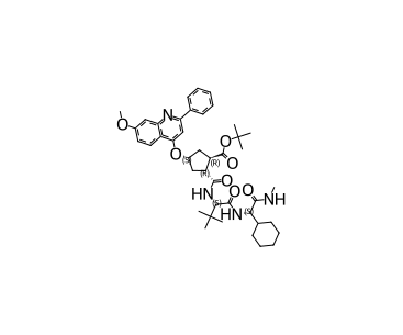 CNC(=O)[C@@H](NC(=O)[C@@H](NC(=O)[C@@H]1C[C@H](Oc2cc(-c3ccccc3)nc3cc(OC)ccc23)C[C@H]1C(=O)OC(C)(C)C)C(C)(C)C)C1CCCCC1